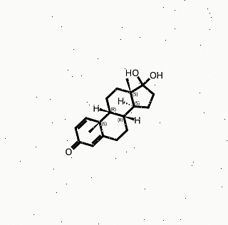 C[C@]12C=CC(=O)C=C1CC[C@@H]1[C@H]2CC[C@@]2(C)[C@H]1CCC2(O)O